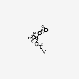 CN(C)C/C=C/C(=O)N1CCCC(n2cc(-c3ccc(Oc4c(F)cccc4Cl)cc3)c3c(N)n[nH]c(=O)c32)C1